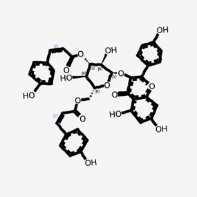 O=C(/C=C\c1ccc(O)cc1)OC[C@H]1O[C@@H](Oc2c(-c3ccc(O)cc3)oc3cc(O)cc(O)c3c2=O)[C@H](O)[C@@H](OC(=O)/C=C\c2ccc(O)cc2)[C@@H]1O